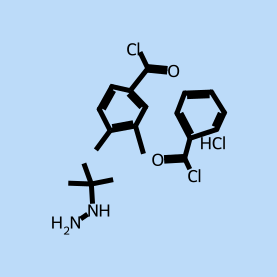 CC(C)(C)NN.Cc1ccc(C(=O)Cl)cc1C.Cl.O=C(Cl)c1ccccc1